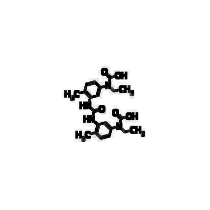 CCN(C(=O)O)c1ccc(C)c(NC(=O)Nc2cc(N(CC)C(=O)O)ccc2C)c1